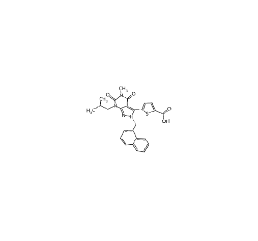 CC(C)Cn1c(=O)n(C)c(=O)c2c(-c3ccc(C(=O)O)s3)n(Cc3cccc4ccccc34)nc21